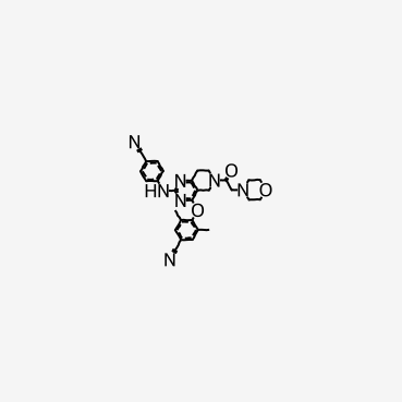 Cc1cc(C#N)cc(C)c1Oc1nc(Nc2ccc(C#N)cc2)nc2c1CN(C(=O)CN1CCOCC1)CC2